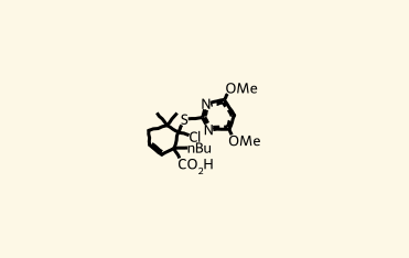 CCCCC1(C(=O)O)C=CCC(C)(C)C1(Cl)Sc1nc(OC)cc(OC)n1